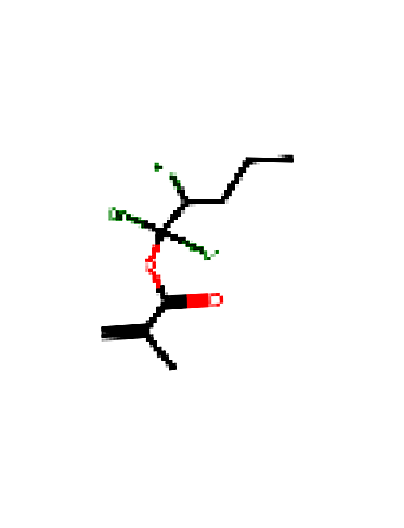 C=C(C)C(=O)OC(Br)(Br)C(Br)CCC